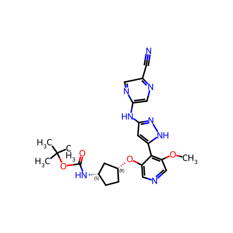 COc1cncc(O[C@@H]2CC[C@H](NC(=O)OC(C)(C)C)C2)c1-c1cc(Nc2cnc(C#N)cn2)n[nH]1